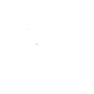 CCOC(=O)CCCN/C=C(/F)C(N)=O